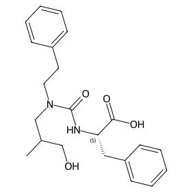 CC(CO)CN(CCc1ccccc1)C(=O)N[C@@H](Cc1ccccc1)C(=O)O